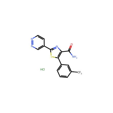 Cl.NC(=O)c1nc(-c2ccnnc2)sc1-c1cccc(C(F)(F)F)c1